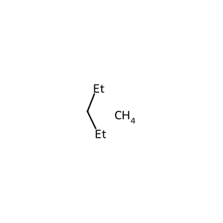 C.CCCCC